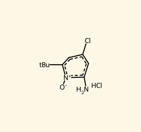 CC(C)(C)c1cc(Cl)cc(N)[n+]1[O-].Cl